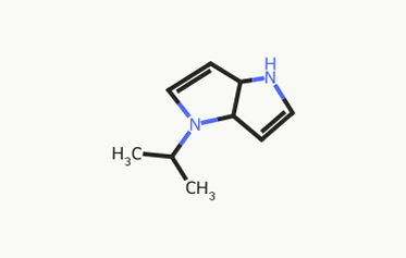 CC(C)N1C=CC2NC=CC21